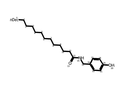 CCCCCCCCCCCCCCCCCCCCCC(=O)NCc1ccc(O)cc1